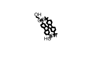 CC(C)(C)c1ccc2c(c1)C1(c3cc(B(O)O)ccc3-c3ccc(B(O)OCCO)cc31)c1cc(C(C)(C)C)ccc1-2